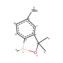 CB1OC(C)(C)c2cc(C(C)(C)C)ccc21